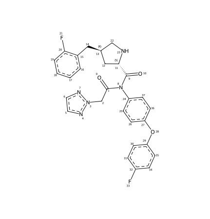 O=C(Cn1nccn1)N(C(=O)[C@@H]1C[C@@H](Cc2ccccc2F)CN1)c1ccc(Oc2ccc(F)cc2)cc1